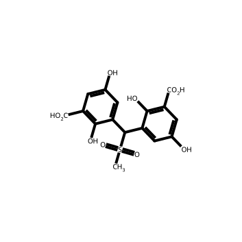 CS(=O)(=O)C(c1cc(O)cc(C(=O)O)c1O)c1cc(O)cc(C(=O)O)c1O